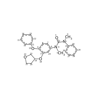 CN(C(=O)N(C)c1ccc(Oc2ccccc2)c(OC2CCOC2)c1)c1ccccc1